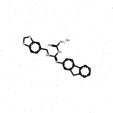 Cl.N=C(N)NC(=Nc1ccc2c(c1)Cc1ccccc1-2)NCc1ccc2c(c1)OCO2